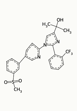 CC(C)(O)c1cn(-c2ccc(-c3cccc(S(C)(=O)=O)c3)cn2)c(-c2ccccc2C(F)(F)F)n1